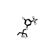 CCC(N)(CC)COc1cc(F)cc(S(C)(=O)=O)c1